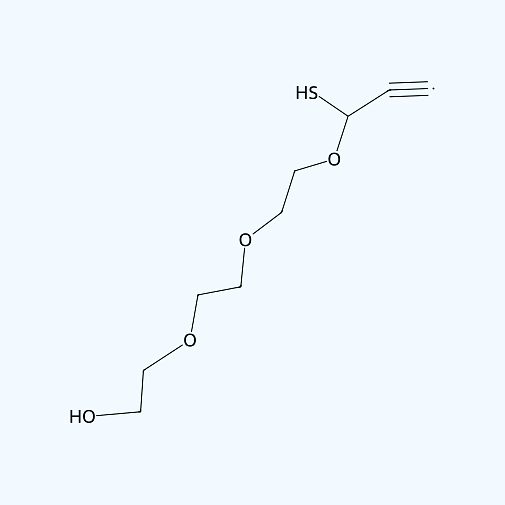 [C]#CC(S)OCCOCCOCCO